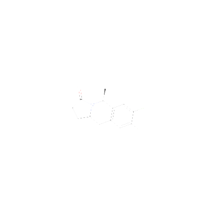 C[C@H]1c2cc(F)c(F)cc2C[C@H]2CCC(=O)N21